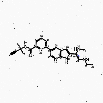 C#CC(C)(C)NC(=O)c1cccc(-c2cnc3[nH]c(/C(=C/NCC)NC)cc3c2)n1